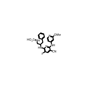 COc1cc(Nc2nc(NC(CNC(=O)O)Cc3ccccc3)c(F)cc2C#N)ccn1